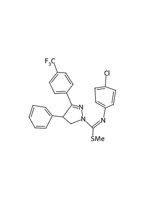 CSC(=Nc1ccc(Cl)cc1)N1CC(c2ccccc2)C(c2ccc(C(F)(F)F)cc2)=N1